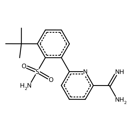 CC(C)(C)c1cccc(-c2cccc(C(=N)N)n2)c1S(N)(=O)=O